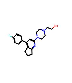 OCCN1CCN(c2cc(-c3ccc(F)cc3)c3c(n2)CCC3)CC1